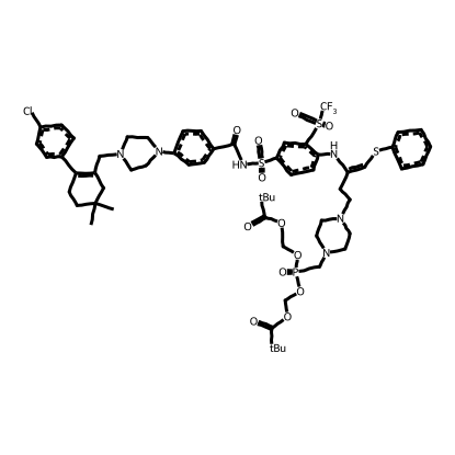 CC1(C)CCC(c2ccc(Cl)cc2)=C(CN2CCN(c3ccc(C(=O)NS(=O)(=O)c4ccc(N/C(=C\Sc5ccccc5)CCN5CCN(CP(=O)(OCOC(=O)C(C)(C)C)OCOC(=O)C(C)(C)C)CC5)c(S(=O)(=O)C(F)(F)F)c4)cc3)CC2)C1